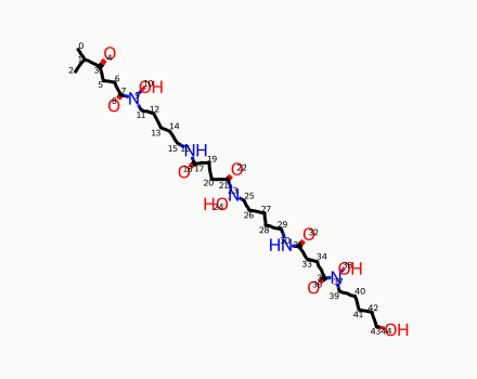 CC(C)C(=O)CCC(=O)N(O)CCCCCNC(=O)CCC(=O)N(O)CCCCCNC(=O)CCC(=O)N(O)CCCCCO